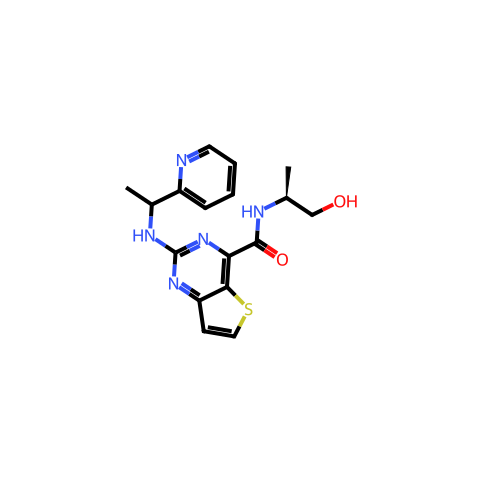 CC(Nc1nc(C(=O)N[C@@H](C)CO)c2sccc2n1)c1ccccn1